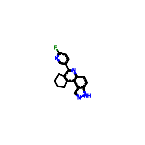 Fc1ccc(-c2nc3ccc4[nH]ncc4c3c3c2CCCC3)cn1